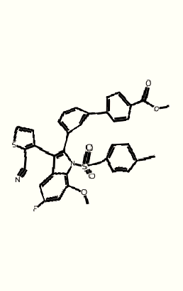 COC(=O)c1ccc(-c2cccc(-c3c(-c4ccsc4C#N)c4cc(F)cc(OC)c4n3S(=O)(=O)c3ccc(C)cc3)c2)cc1